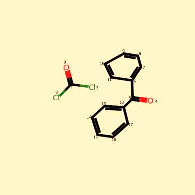 O=C(Cl)Cl.O=C(c1ccccc1)c1ccccc1